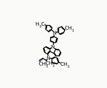 C=C(/C=C\C)N(c1ccc(C)cc1)c1cccc2c1c1ccccc1n2-c1ccc(N(c2ccc(C)cc2)c2ccc(C)cc2)cc1